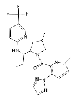 CCC(Nc1ccc(C(F)(F)F)cn1)C1CC(C)CN1C(=O)c1nc(C)ccc1-n1nccn1